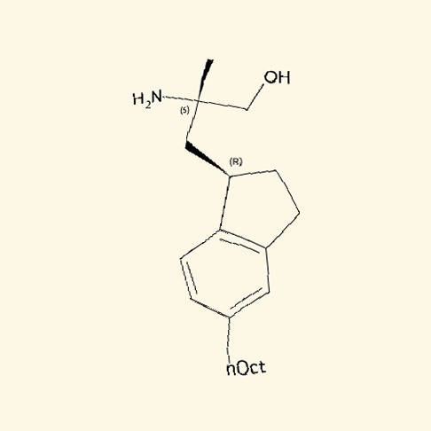 CCCCCCCCc1ccc2c(c1)CC[C@@H]2C[C@](C)(N)CO